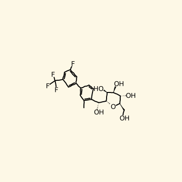 Cc1cc(-c2cc(F)cc(C(F)(F)F)c2)ccc1[C@@H](O)[C@H]1O[C@H](CO)[C@@H](O)[C@H](O)[C@@H]1O